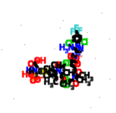 CC1(C)OC(c2ccco2)CN1C(=O)C(Cl)Cl.CCc1cccc(C)c1N(C(=O)CCl)C(C)COC.C[S+](C)C.Nc1c([N+](=O)[O-])cnn1-c1c(Cl)cc(C(F)(F)F)cc1Cl.O=C(O)CNCP(=O)([O-])O